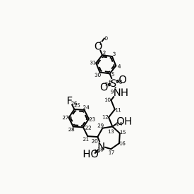 COc1ccc(S(=O)(=O)NCCCC2(O)CCCN(O)C(Cc3ccc(F)cc3)C2)cc1